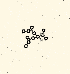 N#Cc1cc(-c2ccc(-n3c4ccccc4c4cc(-c5ccccc5)ccc43)cc2)c(-c2ccc(-n3c4ccccc4c4cc(-c5ccccc5)ccc43)cc2)cc1-c1cc(-c2ccccc2)nc(-c2ccccc2)n1